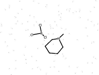 CN1CCCCC1.ClB(Cl)Cl